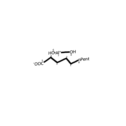 CCCCCCCCCC(=O)[O-].[OH][Al+][OH]